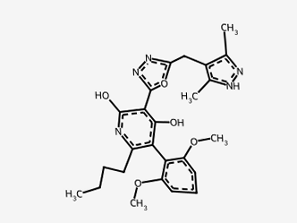 CCCCc1nc(O)c(-c2nnc(Cc3c(C)n[nH]c3C)o2)c(O)c1-c1c(OC)cccc1OC